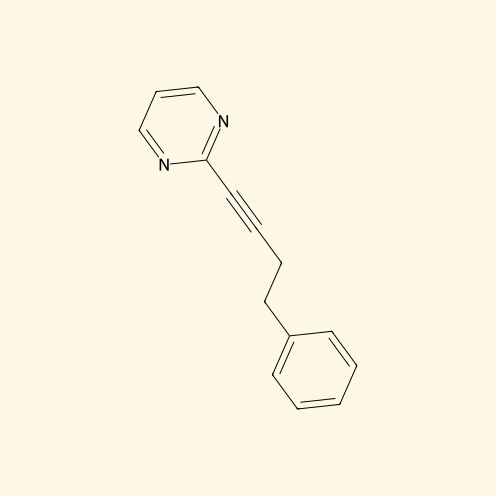 C(#Cc1ncccn1)CCc1ccccc1